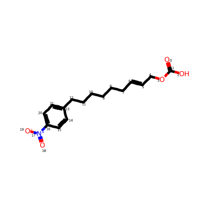 O=C(O)OC/C=C/CCCCCCc1ccc([N+](=O)[O-])cc1